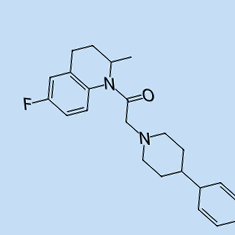 CC1CCc2cc(F)ccc2N1C(=O)CN1CCC(C2C=CCC=C2)CC1